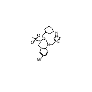 CS(=O)(=O)N1Cc2cc(Br)ccc2N(Cc2c[nH]cn2)C[C@H]1CC1CCCCC1